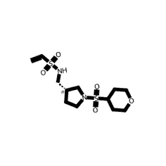 C=CS(=O)(=O)NC[C@H]1CCN(S(=O)(=O)C2CCOCC2)C1